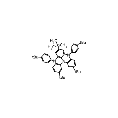 CC(C)(C)c1ccc(N2c3ccc(C(C)(C)C)cc3B3c4cc(C(C)(C)C)ccc4N(c4ccc(C(C)(C)C)cc4)c4cc([Si](C)(C)C)cc2c43)cc1